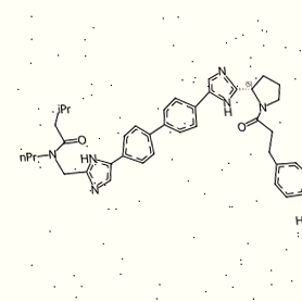 CCCN(Cc1ncc(-c2ccc(-c3ccc(-c4cnc([C@@H]5CCCN5C(=O)CCc5ccc(CN)cc5)[nH]4)cc3)cc2)[nH]1)C(=O)CC(C)C